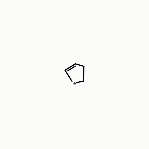 C1=C[Te]CC1